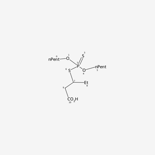 CCCCCOP(=S)(OCCCCC)SC(CC)CC(=O)O